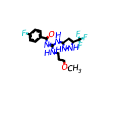 COCCCN/C(=N/C(=O)c1ccc(F)cc1)NC1CC(C(F)(F)F)NN1